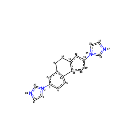 c1cn(-c2ccc3c(c2)CCc2cc(-n4ccnc4)ccc2-3)cn1